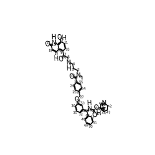 CN(CCCNC[C@@H](O)c1ccc(O)c2[nH]c(=O)ccc12)C(=O)c1ccc(COc2cccc(C(NC(=O)O[C@H]3CN4CCC3CC4)c3ccccc3)c2)cc1